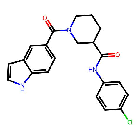 O=C(Nc1ccc(Cl)cc1)C1CCCN(C(=O)c2ccc3[nH]ccc3c2)C1